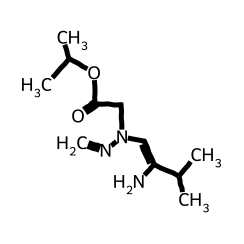 C=NN(/C=C(\N)C(C)C)CC(=O)OC(C)C